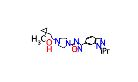 CC(C)n1ncc2ccc(-c3noc(N4CCN(C(O)CC5(C)CC5)CC4)n3)cc21